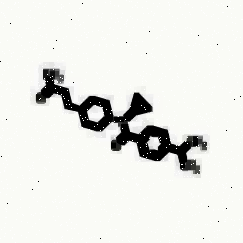 CC(C)c1ccc(C(=O)N(C2CC2)[C@H]2CC[C@H](CCC(N)=O)CC2)cc1